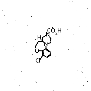 O=C(O)N1CCN2c3cccc(Cl)c3OCC[C@H]2C1